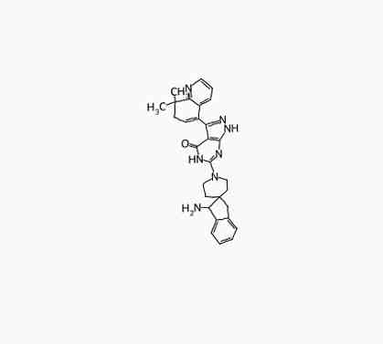 CC1(C)CC=C(c2n[nH]c3nc(N4CCC5(CC4)Cc4ccccc4C5N)[nH]c(=O)c23)c2cccnc21